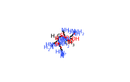 C[C@H](NC(=O)[C@H](CCCCN)NC(=O)[C@H](C)NC(=O)[C@H](CCCNC(=N)N)NC(=O)[C@@H](N)CCCCNN=[N+]=[N-])C(=O)N[C@@H](CCCNC(=N)N)C(=O)O